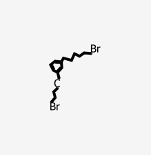 BrCCCCCCc1cccc(CCCCCCBr)c1